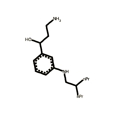 CCCC(CCC)CNc1cccc(C(O)CCN)c1